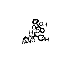 O=C(Nc1ccncn1)C(COC(=O)C(O)(c1ccccc1)C1CCCC1)C1CCNCC1